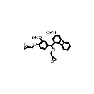 COc1cc(C(OCC2CO2)c2cccc3c2-c2ccccc2-3)ccc1OCC1CO1.O=P